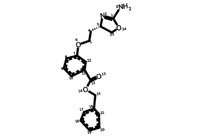 NC1=N[C@@H](CCOc2cccc(C(=O)OCc3ccccc3)c2)CO1